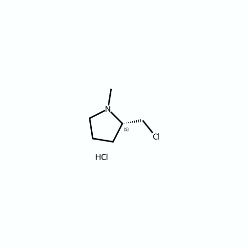 CN1CCC[C@H]1CCl.Cl